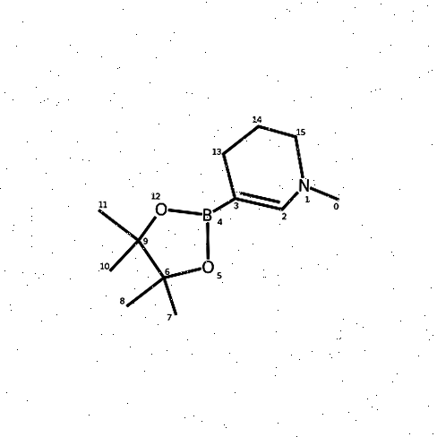 CN1C=C(B2OC(C)(C)C(C)(C)O2)CCC1